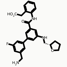 NCc1cc(F)cc(-c2cc(NC[C@@H]3CCCO3)cc(C(=O)Nc3ccccc3CC(=O)O)c2)c1